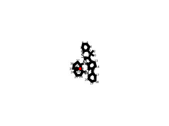 CC1(C)c2ccccc2Sc2c1c1ccc3c4ccccc4n(-c4ccccc4)c3c1n2-c1ccccc1